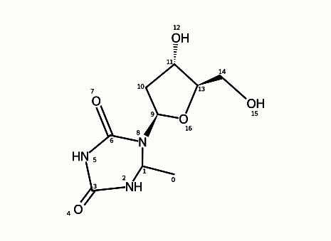 CC1NC(=O)NC(=O)N1[C@H]1C[C@H](O)[C@@H](CO)O1